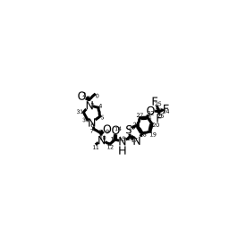 CC(=O)N1CCN(CC(=O)N(C)CC(=O)Nc2nc3ccc(OC(F)(F)F)cc3s2)CC1